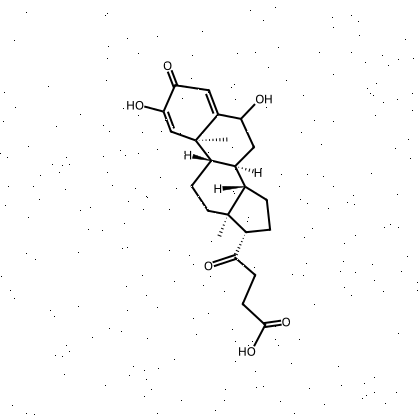 C[C@]12CC[C@H]3[C@@H](CC(O)C4=CC(=O)C(O)=C[C@@]43C)[C@@H]1CC[C@@H]2C(=O)CCC(=O)O